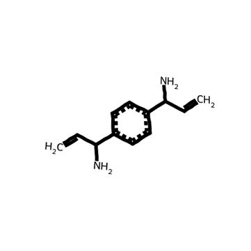 C=CC(N)c1ccc(C(N)C=C)cc1